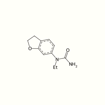 CCN(C(N)=O)c1ccc2c(c1)OCC2